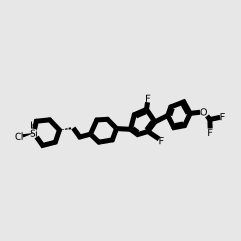 Fc1cc(C2CCC(CC[C@H]3CC[Si@H](Cl)CC3)CC2)cc(F)c1-c1ccc(OC(F)F)cc1